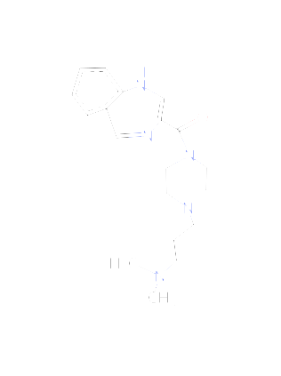 CN(C)CCCN1CCN(C(=O)C2=CNc3ccccc3C=N2)CC1